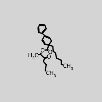 CCCCCCCC1(C(=O)OC(C)C(=O)CCCC)C=CC(c2ccccc2)=CC1